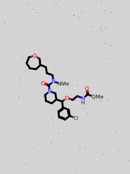 CNN(CCCC1CCCCOC1)C(=O)N1CCCC(C(OCCNC(=O)OC)c2cccc(Cl)c2)C1